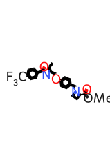 COC(=O)[C@H]1CCN1Cc1ccc(OCc2nc(-c3ccc(C(F)(F)F)cc3)oc2C)cc1